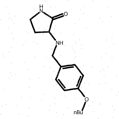 CCCCOc1ccc(CNC2CCNC2=O)cc1